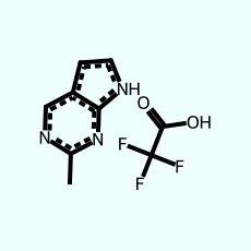 Cc1ncc2cc[nH]c2n1.O=C(O)C(F)(F)F